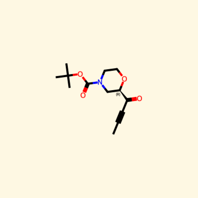 CC#CC(=O)[C@H]1CN(C(=O)OC(C)(C)C)CCO1